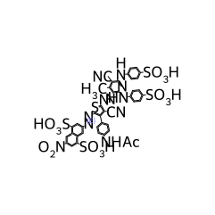 CC(=O)Nc1ccc(-c2c(/N=N/c3cc(S(=O)(=O)O)c4cc([N+](=O)[O-])cc(S(=O)(=O)O)c4c3)sc(N=Nc3c(Nc4ccc(S(=O)(=O)O)cc4)nc(Nc4ccc(S(=O)(=O)O)cc4)c(C#N)c3C)c2C#N)cc1